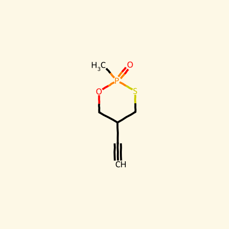 C#CC1COP(C)(=O)SC1